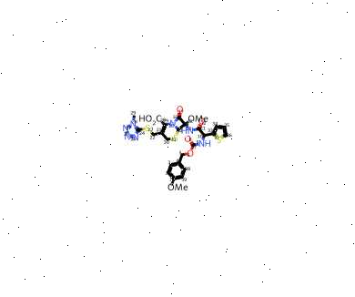 COc1ccc(COC(=O)NC(C(=O)N[C@@]2(OC)C(=O)N3C(C(=O)O)=C(CSc4nnnn4C)CSC32)c2cccs2)cc1